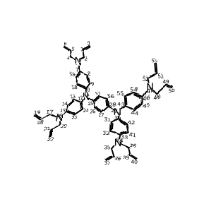 C=CCN(CC=C)c1ccc(N(c2ccc(N(CC=C)CC=C)cc2)c2ccc(N(c3ccc(N(CC=C)CC=C)cc3)c3ccc(N(CC=C)CC=C)cc3)cc2)cc1